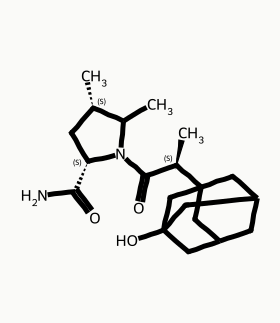 CC1[C@@H](C)C[C@@H](C(N)=O)N1C(=O)[C@@H](C)C12CC3CC(CC(O)(C3)C1)C2